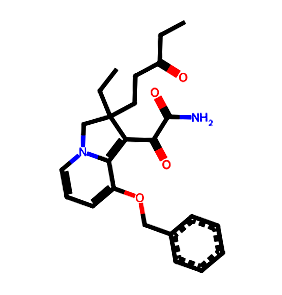 CCC(=O)CCC1(CC)CN2C=CC=C(OCc3ccccc3)C2=C1C(=O)C(N)=O